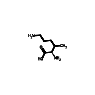 CC(CCCN)[C@H](N)C(=O)O